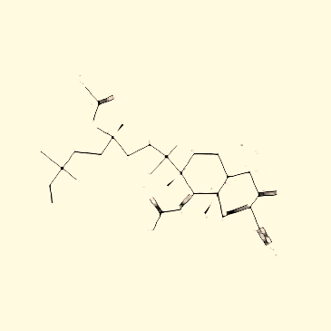 CCC(C)(C)CC[C@@](C)(CCC(C)(C)[C@]1(C)CC[C@H]2[C@H](C)C(=O)C(C#N)=C[C@]2(C)/C1=C/C(C)=O)OC(N)=O